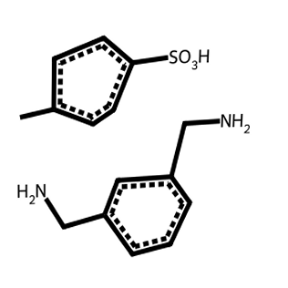 Cc1ccc(S(=O)(=O)O)cc1.NCc1cccc(CN)c1